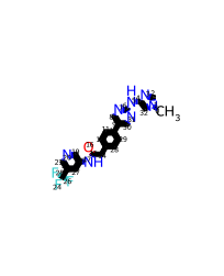 Cn1cnc(Nc2ncc(-c3ccc(CC(=O)Nc4cncc(C(F)(F)F)c4)cc3)cn2)c1